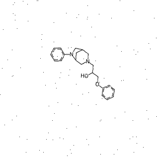 OC(COc1ccccc1)CN1CC2CC(C1)N(c1ccccc1)C2